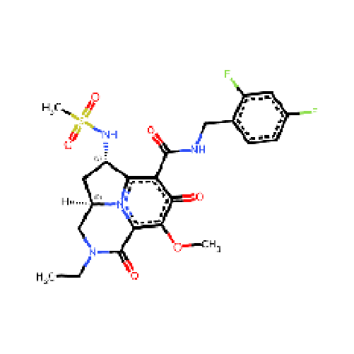 CCN1C[C@H]2C[C@H](NS(C)(=O)=O)c3c(C(=O)NCc4ccc(F)cc4F)c(=O)c(OC)c(n32)C1=O